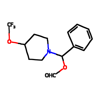 O=COC(c1ccccc1)N1CCC(OC(F)(F)F)CC1